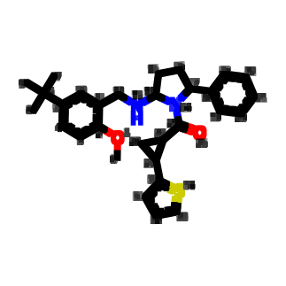 COc1ccc(C(C)(C)C)cc1CNC1CCC(c2ccccc2)N1C(=O)C1CC1c1cccs1